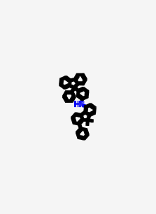 CC1(C)c2cccc(Nc3cccc(C4(c5ccccc5)c5ccccc5-c5ccccc54)c3)c2-c2cccc(-c3ccccc3)c21